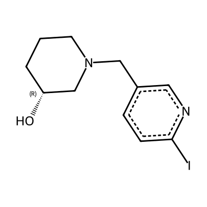 O[C@@H]1CCCN(Cc2ccc(I)nc2)C1